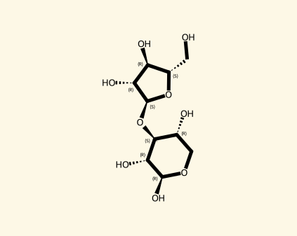 OC[C@@H]1O[C@@H](O[C@@H]2[C@@H](O)[C@H](O)OC[C@H]2O)[C@H](O)[C@H]1O